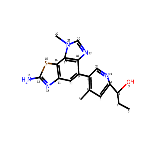 CCC(O)c1cc(C)c(-c2cc3nc(N)sc3c3c2ncn3C)cn1